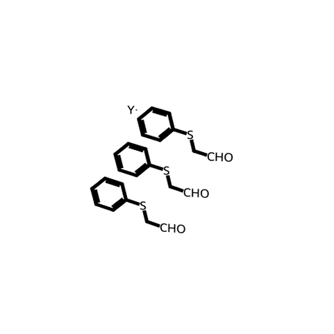 O=CCSc1ccccc1.O=CCSc1ccccc1.O=CCSc1ccccc1.[Y]